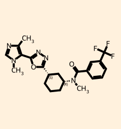 Cc1ncn(C)c1-c1nnc([C@H]2CCC[C@@H](N(C)C(=O)c3cccc(C(F)(F)F)c3)C2)o1